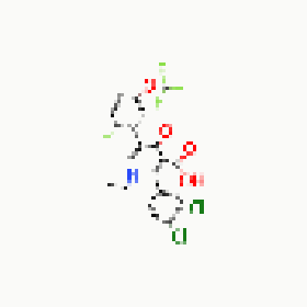 CCn1cc(-c2cc(OC(F)(F)F)ccc2F)c(=O)c(C(=O)O)c1-c1ccc(Cl)c(Cl)c1